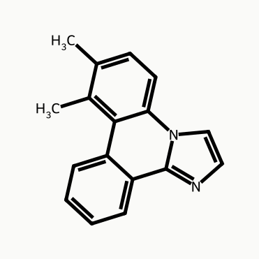 Cc1ccc2c(c1C)c1ccccc1c1nccn21